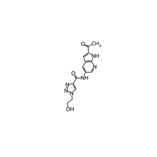 CC(=O)c1cc2cc(NC(=O)c3cn(CCO)nn3)cnc2[nH]1